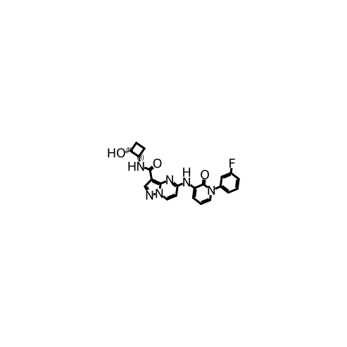 O=C(N[C@@H]1CC[C@H]1O)c1cnn2ccc(Nc3cccn(-c4cccc(F)c4)c3=O)nc12